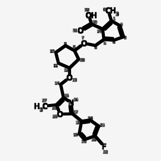 Cc1cccc(COC2CCCC(OCc3nc(-c4ccc(F)cc4)oc3C)C2)c1C(=O)O